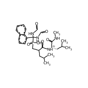 CNC(=O)[C@H](CC(C)C)NC(=O)C(CC(C)C)CP(=O)(O)C(NC=O)(NC=O)c1cccc2ccccc12